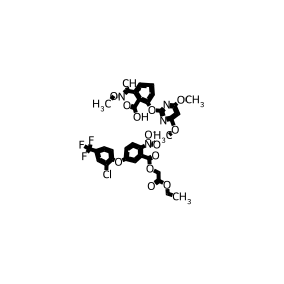 CCOC(=O)COC(=O)c1cc(Oc2ccc(C(F)(F)F)cc2Cl)ccc1[N+](=O)[O-].CON=C(C)c1cccc(Oc2nc(OC)cc(OC)n2)c1C(=O)O